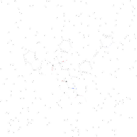 COC(=O)N[C@H](C(=O)N(Cc1ccc(C#Cc2ccccn2)cc1)NC[C@@](O)(Cc1ccccc1)C(=O)N[C@H]1c2ccccc2C[C@H]1O)C(C)(C)C